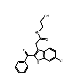 N#CCCNC(=O)Cc1c(C(=O)c2ccccc2)[nH]c2cc(Cl)ccc12